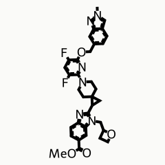 COC(=O)c1ccc2nc(C3CC34CCN(c3nc(OCc5ccc6cn(C)nc6c5)c(F)cc3F)CC4)n(CC3CCO3)c2c1